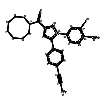 CCCC#Cc1ccc(-c2cc(C(=O)C3CCCCCCC3)nn2-c2ccc(OC)c(F)c2)cc1